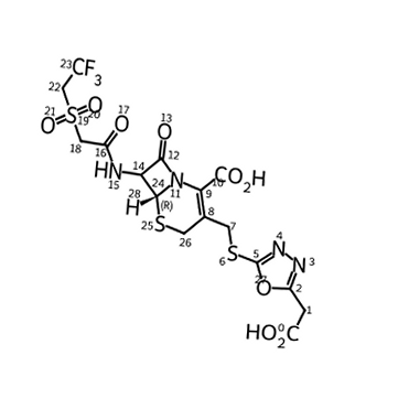 O=C(O)Cc1nnc(SCC2=C(C(=O)O)N3C(=O)C(NC(=O)CS(=O)(=O)CC(F)(F)F)[C@H]3SC2)o1